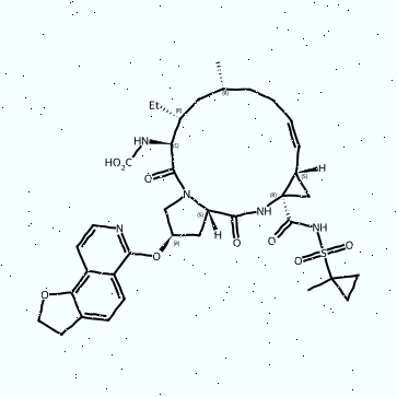 CC[C@@H]1C[C@H](C)CCC=C[C@@H]2C[C@@]2(C(=O)NS(=O)(=O)C2(C)CC2)NC(=O)[C@@H]2C[C@@H](Oc3nccc4c5c(ccc34)CCO5)CN2C(=O)[C@H]1NC(=O)O